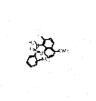 COc1ccnc2c(N(N)S(=O)(=O)c3ccccc3[N+](=O)[O-])c(Cl)ccc12